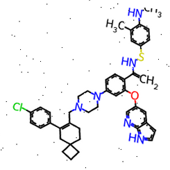 C=C(NSc1ccc(NC)c(C)c1)c1ccc(N2CCN(CC3=C(c4ccc(Cl)cc4)CC4(CCC4)CC3)CC2)cc1Oc1cnc2[nH]ccc2c1